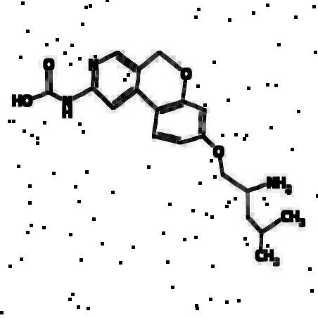 CC(C)CC(N)COc1ccc2c(c1)OCc1cnc(NC(=O)O)cc1-2